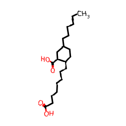 CCCCCCC1CCC(CCCCCCCC(=O)O)C(C(=O)O)C1